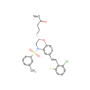 COC(=O)CCC[C@H]1CN(S(=O)(=O)c2cccc(C)c2)c2cc(/C=C/c3c(F)cccc3Cl)ccc2O1